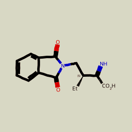 CC[C@@H](CN1C(=O)c2ccccc2C1=O)C(=N)C(=O)O